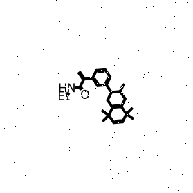 C=C(C(=O)NCC)c1cccc(C2CC3=C(CC2C)C(C)(C)C=CC3(C)C)c1